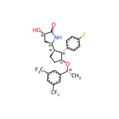 C[C@@H](O[C@H]1CC[C@@H]([C@H]2C[C@@H](O)C(=O)N2)[C@@H]1c1ccc(F)cc1)c1cc(C(F)(F)F)cc(C(F)(F)F)c1